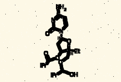 CC[C@]1(COC(O)C(C)C)O[C@@H](n2ccc(N)nc2=O)CC1OC(=O)C(C)C